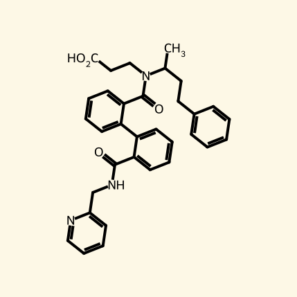 CC(CCc1ccccc1)N(CCC(=O)O)C(=O)c1ccccc1-c1ccccc1C(=O)NCc1ccccn1